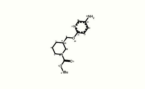 CC(C)(C)OC(=O)N1CCC[C@@H](COc2ccc(N)cn2)C1